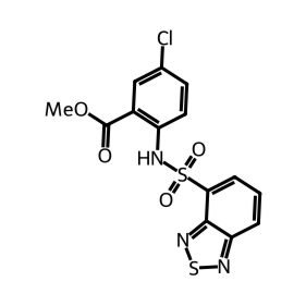 COC(=O)c1cc(Cl)ccc1NS(=O)(=O)c1cccc2nsnc12